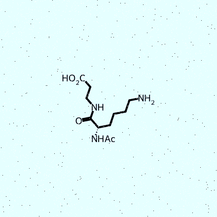 CC(=O)N[C@@H](CCCCN)C(=O)NCCC(=O)O